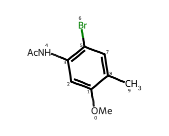 COc1cc(NC(C)=O)c(Br)cc1C